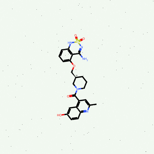 Cc1cc(C(=O)N2CCC[C@H](COc3cccc4c3C(N)=NS(=O)(=O)N4)C2)c2cc(O)ccc2n1